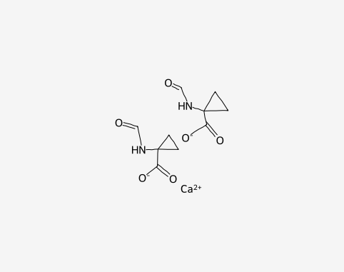 O=CNC1(C(=O)[O-])CC1.O=CNC1(C(=O)[O-])CC1.[Ca+2]